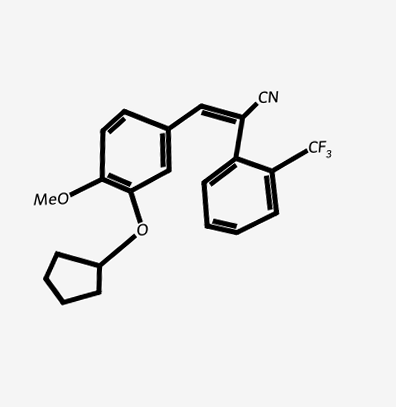 COc1ccc(C=C(C#N)c2ccccc2C(F)(F)F)cc1OC1CCCC1